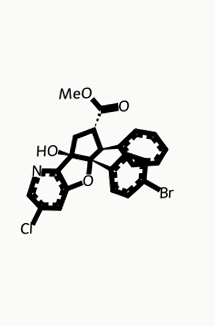 COC(=O)[C@H]1C[C@@]2(O)c3ncc(Cl)cc3O[C@@]2(c2ccc(Br)cc2)[C@@H]1c1ccccc1